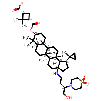 CC1([C@H]2CC[C@]3(NCC[C@@H](CO)N4CCS(=O)(=O)CC4)CC[C@]4(C)[C@H](CC[C@@H]5[C@@]6(C)CC[C@H](OC(=O)[C@H]7C[C@@H](C(=O)O)C7(C)C)C(C)(C)[C@@H]6CC[C@]54C)[C@@H]23)CC1